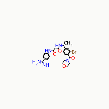 CC(NC(=O)CC(=O)Nc1ccc(C(=N)N)cc1)c1ccc(C(=O)N2CCOCC2)c(Br)c1